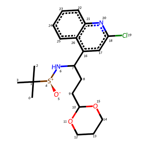 CC(C)(C)[S@+]([O-])NC(CCC1OCCCO1)c1cc(Cl)nc2ccccc12